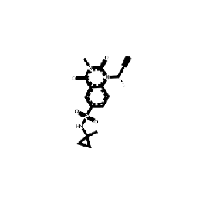 C#C[C@H](C)n1c(=O)n(C)c(=O)c2cc(S(=O)(=O)NC3(C)CC3)ccc21